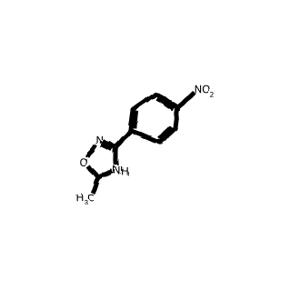 CC1NC(c2ccc([N+](=O)[O-])cc2)=NO1